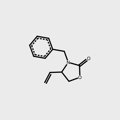 C=CC1COC(=O)N1Cc1ccccc1